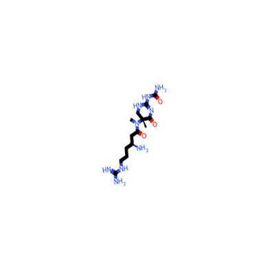 CN(C(=O)C[C@@H](N)CCCNC(=N)N)[C@]1(C)CNC(NC(N)=O)=NC1=O